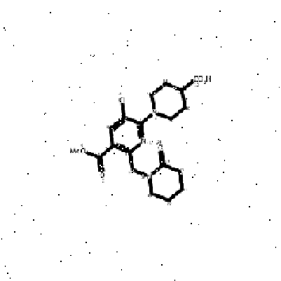 COC(=O)c1cc(Cl)c(N2CCC(C(=O)O)CC2)nc1CN1CCCCC1=O